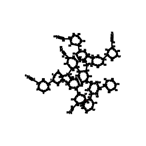 N#Cc1cccc(-c2ccc3c(c2)c2cc(-c4cccc(C#N)c4)ccc2n3-c2cc(C#N)ccc2-c2ccc(-c3nc(-c4ccccc4)nc(-c4ccccc4)n3)cc2-n2c3ccc(-c4cccc(C#N)c4)cc3c3cc(-c4cccc(C#N)c4)ccc32)c1